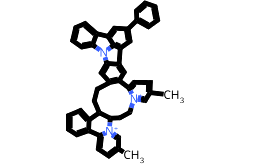 Cc1ccc2[n+](c1)CCC1C(CCc3cc4c(cc3-2)c2cc(-c3ccccc3)cc3c5ccccc5n4c32)c2ccccc2-c2ccc(C)c[n+]21